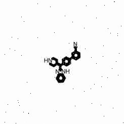 N#Cc1cccc(-c2ccc(C(=C3CCNCC3)c3nc4ccccc4[nH]3)cc2)c1